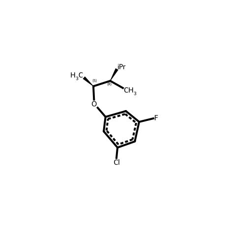 CC(C)[C@@H](C)[C@H](C)Oc1cc(F)cc(Cl)c1